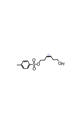 Cc1ccc(S(=O)(=O)OCC/C=C\CCO)cc1